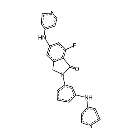 O=C1c2c(F)cc(Nc3ccncc3)cc2CN1c1cccc(Nc2ccncc2)c1